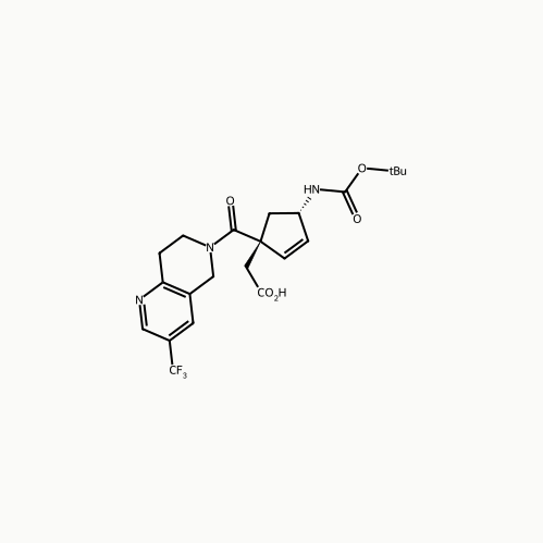 CC(C)(C)OC(=O)N[C@@H]1C=C[C@](CC(=O)O)(C(=O)N2CCc3ncc(C(F)(F)F)cc3C2)C1